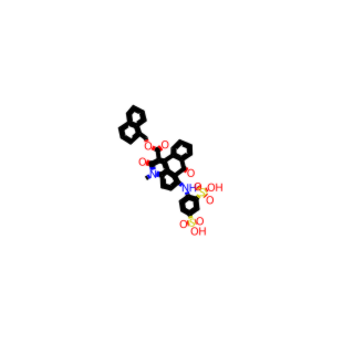 Cn1c(=O)c(C(=O)OCc2cccc3ccccc23)c2c3c(c(Nc4ccc(S(=O)(=O)O)cc4S(=O)(=O)O)ccc31)C(=O)c1ccccc1-2